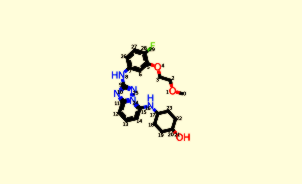 COCCOc1cc(Nc2nc3cccc(NC4CCC(O)CC4)n3n2)ccc1F